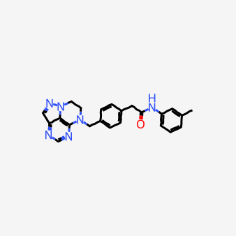 Cc1cccc(NC(=O)Cc2ccc(CN3CCn4ncc5ncnc3c54)cc2)c1